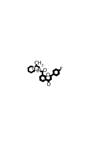 CC(CNC(=O)c1cccc2c(=O)cc(-c3ccc(F)cc3)oc12)N1CCCCC1